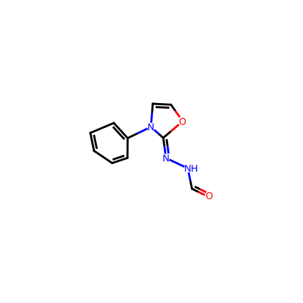 O=CNN=c1occn1-c1ccccc1